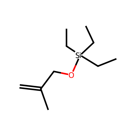 C=C(C)CO[Si](CC)(CC)CC